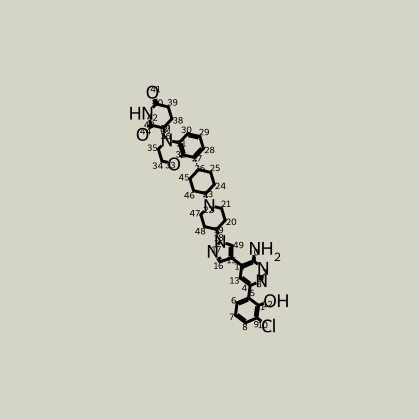 Nc1nnc(-c2cccc(Cl)c2O)cc1-c1cnn(C2CCN([C@H]3CC[C@@H](c4cccc5c4OCCN5[C@@H]4CCC(=O)NC4=O)CC3)CC2)c1